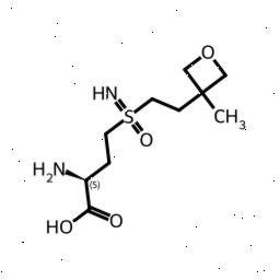 CC1(CCS(=N)(=O)CC[C@H](N)C(=O)O)COC1